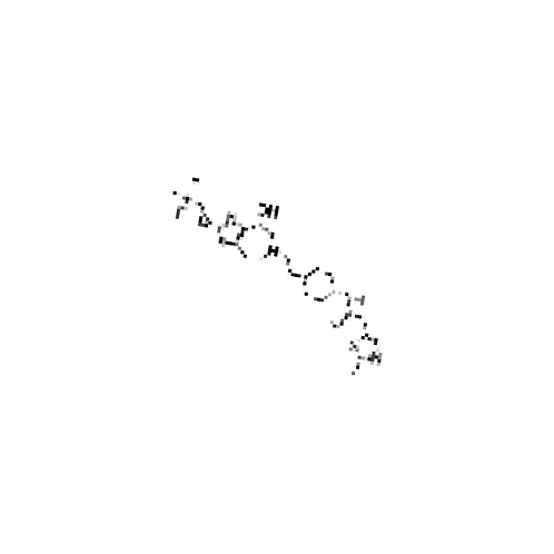 Cc1ncc(CC(=O)N[C@H]2CC[C@H](CCN3CCc4sc(OCC(C)(F)F)nc4C(O)C3)CC2)s1